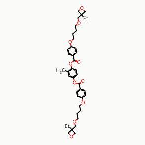 CCC1(COCCCCOc2ccc(C(=O)Oc3ccc(OC(=O)c4ccc(OCCCCOCC5(CC)COC5)cc4)c(C)c3)cc2)COC1